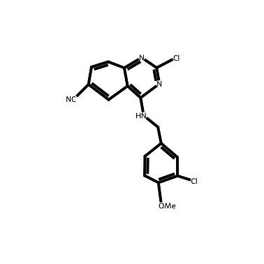 COc1ccc(CNc2nc(Cl)nc3ccc(C#N)cc23)cc1Cl